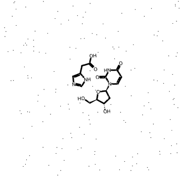 O=C(O)Cc1cnc[nH]1.O=c1ccn([C@H]2C[C@H](O)[C@@H](CO)O2)c(=O)[nH]1